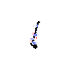 C/C=C\CNCCCCCC(=O)NCC(=O)NCC(=O)NC(C)Cc1ccccc1